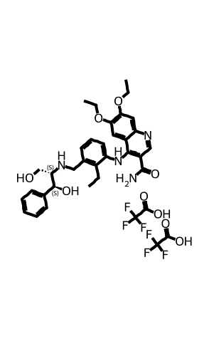 CCOc1cc2ncc(C(N)=O)c(Nc3cccc(CN[C@@H](CO)[C@@H](O)c4ccccc4)c3CC)c2cc1OCC.O=C(O)C(F)(F)F.O=C(O)C(F)(F)F